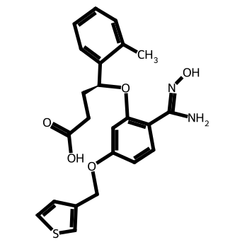 Cc1ccccc1[C@H](CCC(=O)O)Oc1cc(OCc2ccsc2)ccc1C(N)=NO